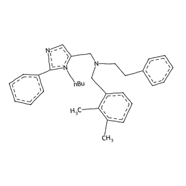 CCCCn1c(CN(CCc2ccccc2)Cc2cccc(C)c2C)cnc1-c1ccccc1